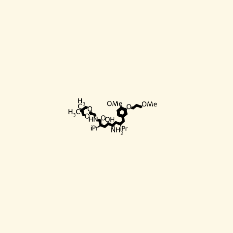 COCCCOc1cc(C[C@@H](C[C@H](N)[C@@H](O)C[C@H](C(=O)NCC2OCC(C)(C)CO2)C(C)C)C(C)C)ccc1OC